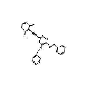 FC1=C(C#Cc2cc(OCc3ccccc3)c(OCc3ccccc3)nn2)C(Cl)CC=C1